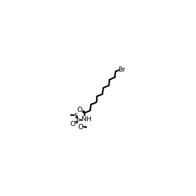 COP(=O)(NC(=O)CCCCCCCCCCBr)SC